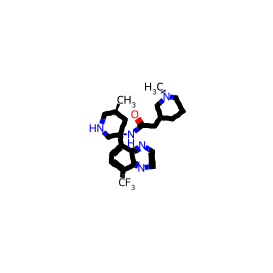 C[C@@H]1CNC[C@](NC(=O)CC2CCCN(C)C2)(c2ccc(C(F)(F)F)c3nccnc23)C1